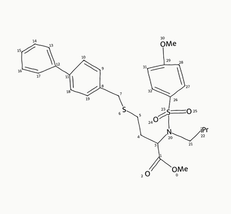 COC(=O)C(CCSCc1ccc(-c2ccccc2)cc1)N(CC(C)C)S(=O)(=O)c1ccc(OC)cc1